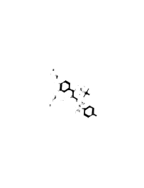 COCOc1ccc([C@@H](O[Si](C)(C)C(C)(C)C)[C@H](O)COS(=O)(=O)c2ccc(C)cc2)cc1OCOC